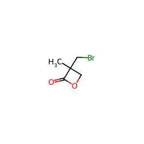 CC1(CBr)COC1=O